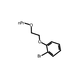 CCCOCCOc1ccccc1Br